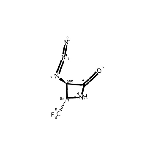 [N-]=[N+]=N[C@H]1C(=O)N[C@@H]1C(F)(F)F